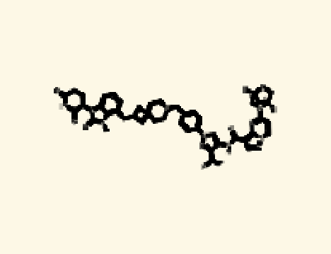 Cn1c(=O)n(C2CCC(=O)NC2=O)c2cccc(CC3CC4(CCN(Cc5ccc(-n6cc(NC(=O)c7cnn8ccc(N9C[C@H]%10C[C@@H]9CO%10)nc78)c(C(F)F)n6)cc5)CC4)C3)c21